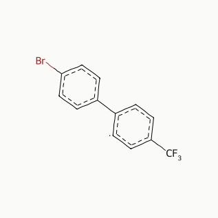 FC(F)(F)c1c[c]c(-c2ccc(Br)cc2)cc1